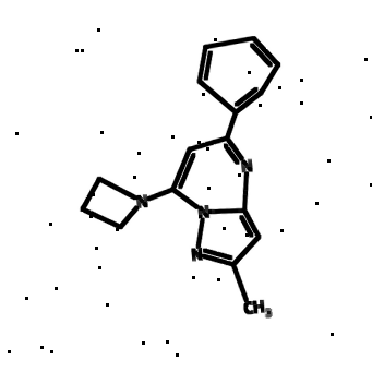 Cc1cc2nc(-c3ccccc3)cc(N3CCC3)n2n1